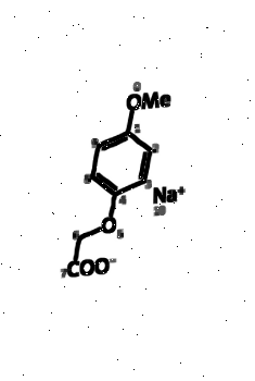 COc1ccc(OCC(=O)[O-])cc1.[Na+]